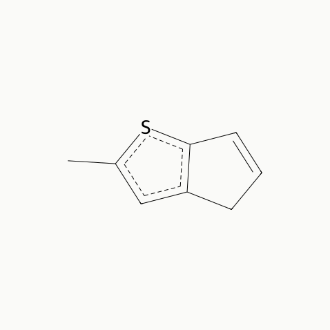 Cc1cc2c(s1)C=CC2